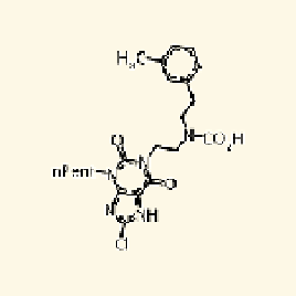 CCCCCn1c(=O)n(CCN(CCc2cccc(C)c2)C(=O)O)c(=O)c2[nH]c(Cl)nc21